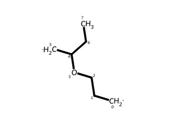 [CH2]CCOC([CH2])CC